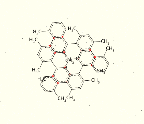 Cc1ccccc1-c1c(C)cc(C)c(-c2ccccc2C)c1[O][Al]([O]c1c(-c2ccccc2C)c(C)cc(C)c1-c1ccccc1C)[O]c1c(-c2ccccc2C)c(C)cc(C)c1-c1ccccc1C